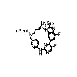 CCCCCN(CCCCNC)Cc1ccc(Nc2ncc(F)c(-c3cc(F)c4nc(C)n(C(C)C)c4c3)n2)nc1